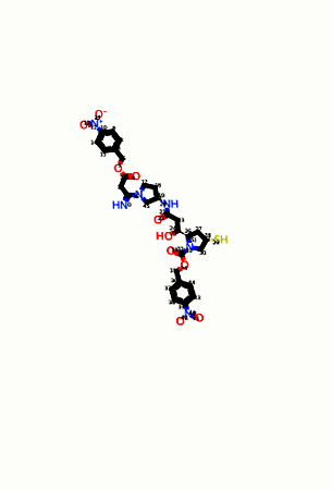 N=C(CC(=O)OCc1ccc([N+](=O)[O-])cc1)N1CC[C@H](NC(=O)CC(O)[C@@H]2C[C@H](S)CN2C(=O)OCc2ccc([N+](=O)[O-])cc2)C1